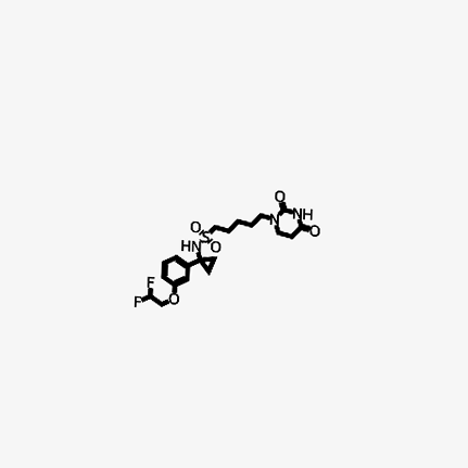 O=C1CCN(CCCCCS(=O)(=O)NC2(c3cccc(OCC(F)F)c3)CC2)C(=O)N1